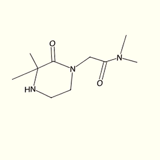 CN(C)C(=O)CN1CCNC(C)(C)C1=O